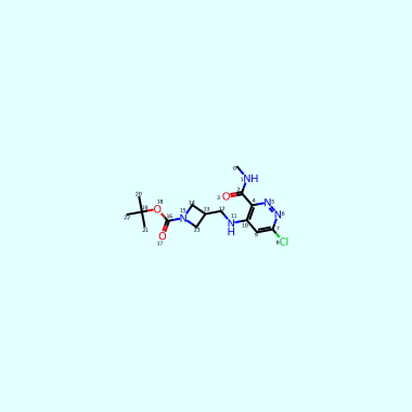 CNC(=O)c1nnc(Cl)cc1NCC1CN(C(=O)OC(C)(C)C)C1